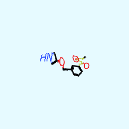 CS(=O)(=O)c1cccc(COC2CNC2)c1